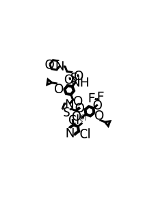 O=C(O[C@@H](Cc1c(Cl)cncc1Cl)c1ccc(OC(F)F)c(OCC2CC2)c1)C1SCCN1C(=O)c1cc(NS(=O)(=O)CCCN2CCOCC2)cc(OCC2CC2)c1